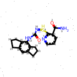 NC(=O)c1cccnc1/[SH]=N\C(=O)Nc1c2c(cc3c1CCC3)CCC2